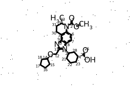 COC(=O)N1c2ccc3c(nc(COC4CCCC4)n3[C@@H]3CCC[C@@H](C(=O)O)C3)c2CC[C@@H]1C